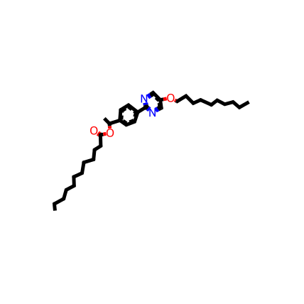 CCCCCCCCCCCC(=O)OC(C)c1ccc(-c2ncc(OCCCCCCCCCC)cn2)cc1